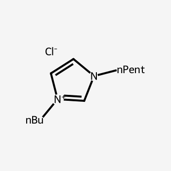 CCCCCn1cc[n+](CCCC)c1.[Cl-]